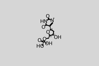 Cn1cc([C@H]2C[C@H](O)[C@@H](COP(=O)(O)O)O2)c(=O)[nH]c1=O